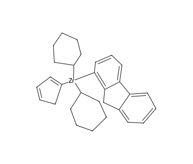 C1=CC[C]([Zr]([c]2cccc3c2Cc2ccccc2-3)([CH]2CCCCC2)[CH]2CCCCC2)=C1